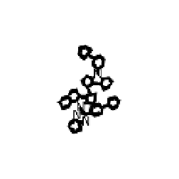 c1ccc(-c2ccc(-c3nc4ccccc4nc3-n3c4cccc(-c5cccc6c5c5ccccc5n6-c5cccc(-c6ccccc6)c5)c4c4ccc5ccccc5c43)cc2)cc1